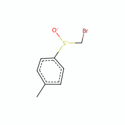 Cc1ccc([S+]([O-])CBr)cc1